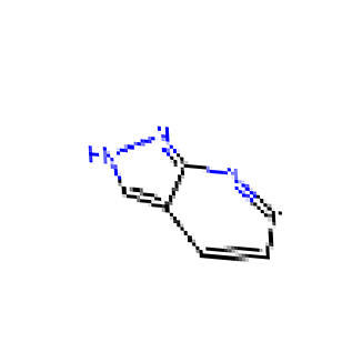 [c]1ccc2c[nH]nc2n1